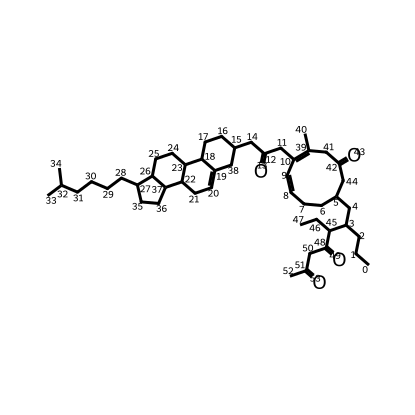 CCCC(CC1CC/C=C\C(CC(=O)CC2CCC3C(=CCC4C3CCC3C(CCCCC(C)C)CCC34)C2)=C(\C)CC(=O)C1)C(CC)C(=O)CC(C)=O